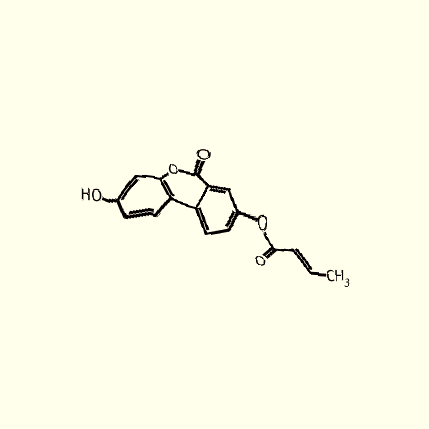 C/C=C/C(=O)Oc1ccc2c(c1)c(=O)oc1cc(O)ccc12